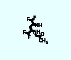 CC(=O)CN/C(=C\C(=N)C(F)F)C(F)F